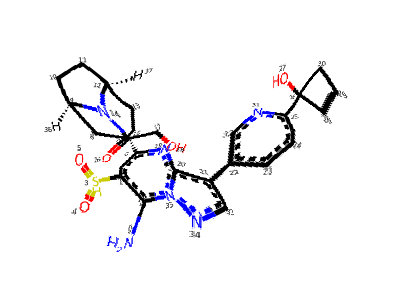 Nc1c([SH](=O)=O)c([C@@H]2C[C@H]3CC[C@@H](C2)N3C(=O)CO)nc2c(-c3ccc(C4(O)CCC4)nc3)cnn12